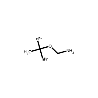 CCCC(C)(CCC)OCN